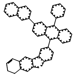 C1=Cc2cc3c(cc2CC1)oc1ccc(-c2c4ccccc4c(-c4ccccc4)c4cc(-c5ccc6ccccc6c5)ccc24)cc13